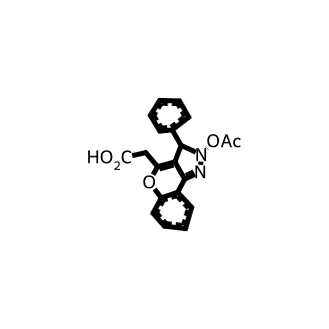 CC(=O)ON1N=C2C(=C(CC(=O)O)Oc3ccccc32)C1c1ccccc1